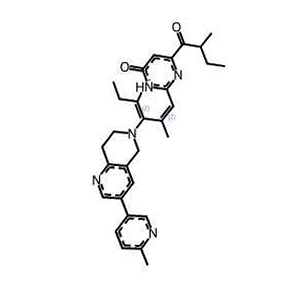 CC/C(C)=C(/C(C)=C\c1nc(C(=O)C(C)CC)cc(=O)[nH]1)N1CCc2ncc(-c3ccc(C)nc3)cc2C1